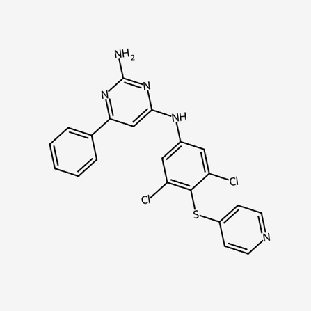 Nc1nc(Nc2cc(Cl)c(Sc3ccncc3)c(Cl)c2)cc(-c2ccccc2)n1